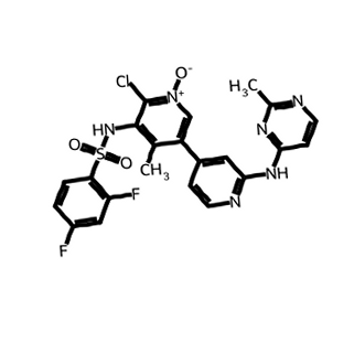 Cc1nccc(Nc2cc(-c3c[n+]([O-])c(Cl)c(NS(=O)(=O)c4ccc(F)cc4F)c3C)ccn2)n1